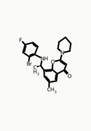 Cc1cc([C@@H](C)Nc2ccc(F)cc2Br)c2oc(N3CCCCC3)cc(=O)c2c1